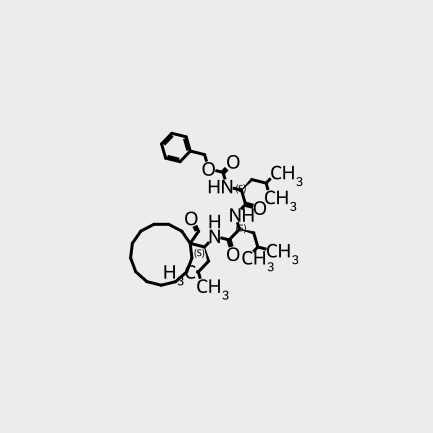 CC(C)C[C@H](NC(=O)OCc1ccccc1)C(=O)N[C@@H](CC(C)C)C(=O)N[C@@H](CC(C)C)C1(C=O)CCCCCCCCCCCC1